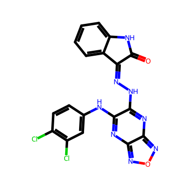 O=C1Nc2ccccc2/C1=N/Nc1nc2nonc2nc1Nc1ccc(Cl)c(Cl)c1